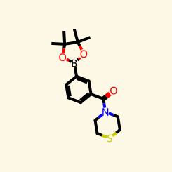 CC1(C)OB(c2cccc(C(=O)N3CCSCC3)c2)OC1(C)C